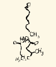 CC(C)CC(=O)O.CCCC(=O)O.CCCCCC=O